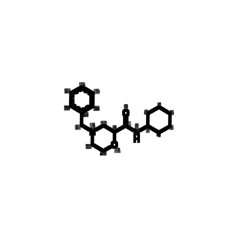 O=C(NC1CCCCC1)C1CN(Cc2ccccc2)CCO1